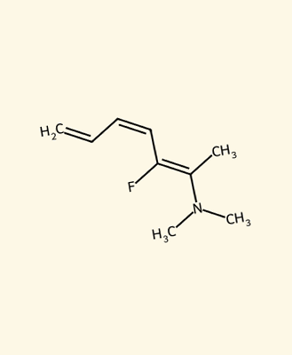 C=C/C=C\C(F)=C(/C)N(C)C